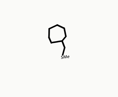 [CH2]SCC1CCCCCC1